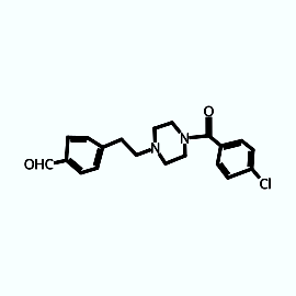 O=Cc1ccc(CCN2CCN(C(=O)c3ccc(Cl)cc3)CC2)cc1